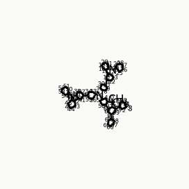 CC1(C)c2cc(N(c3ccc(-c4ccc5c(c4)c4ccccc4n5-c4ccccc4)cc3)c3ccc(-c4ccc5c(c4)c4ccccc4n5-c4ccccc4)cc3)ccc2-c2cc(-c3ccccc3)cc(-c3ccccc3)c21